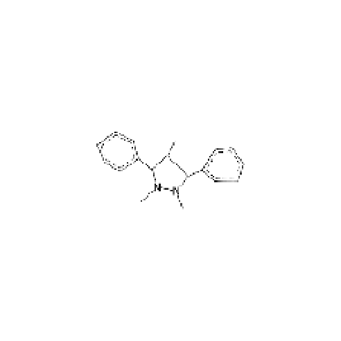 CC1C(c2ccccc2)N(C)N(C)C1c1ccccc1